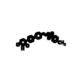 Cc1ccc(S(=O)(=O)OCCC2CCN(c3ccc([C@@H]4CCC(=O)NC4=O)cc3)CC2)cc1